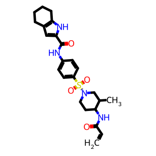 C=CC(=O)NC1CCN(S(=O)(=O)c2ccc(NC(=O)c3cc4c([nH]3)CCCC4)cc2)CC1C